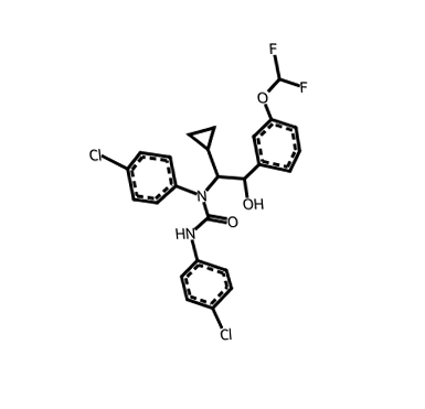 O=C(Nc1ccc(Cl)cc1)N(c1ccc(Cl)cc1)C(C1CC1)C(O)c1cccc(OC(F)F)c1